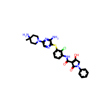 CC1(N)CCN(c2cnc(Sc3cccc(NC(=O)C4=C(O)CN(c5ccccc5)C4=O)c3Cl)c(N)n2)CC1